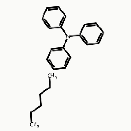 CCCCCC.c1ccc(N(c2ccccc2)c2ccccc2)cc1